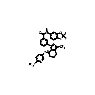 CN(C(=O)c1cccc(-n2nc(C(F)(F)F)c3c2[C@H](Oc2ccc(C(=O)O)nc2)CCC3)c1)c1ccc2c(c1)OC(F)(F)O2